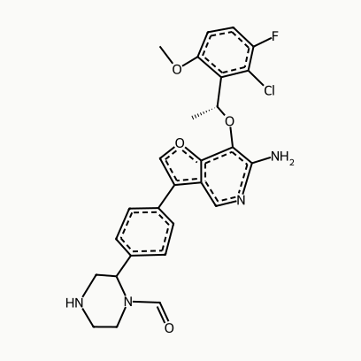 COc1ccc(F)c(Cl)c1[C@@H](C)Oc1c(N)ncc2c(-c3ccc(C4CNCCN4C=O)cc3)coc12